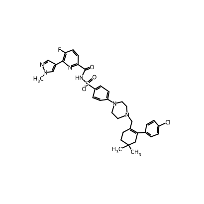 Cn1cc(-c2nc(C(=O)NS(=O)(=O)c3ccc(N4CCN(CC5=C(c6ccc(Cl)cc6)CC(C)(C)CC5)CC4)cc3)ccc2F)cn1